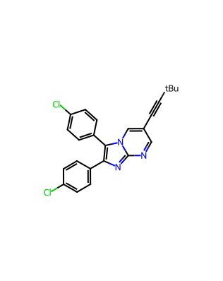 CC(C)(C)C#Cc1cnc2nc(-c3ccc(Cl)cc3)c(-c3ccc(Cl)cc3)n2c1